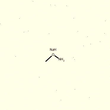 CON.[NaH]